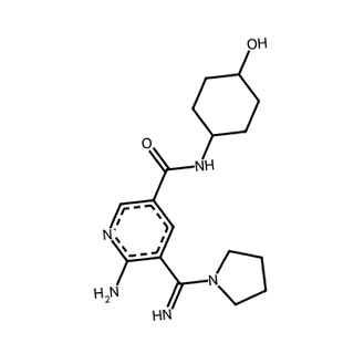 N=C(c1cc(C(=O)NC2CCC(O)CC2)cnc1N)N1CCCC1